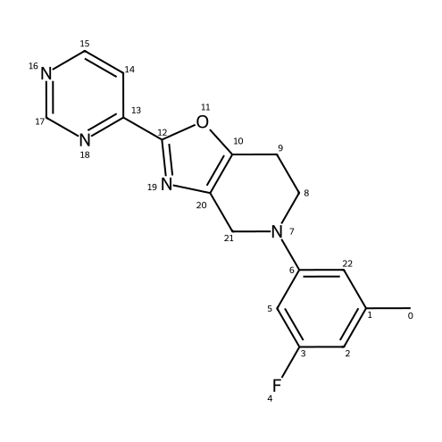 Cc1cc(F)cc(N2CCc3oc(-c4ccncn4)nc3C2)c1